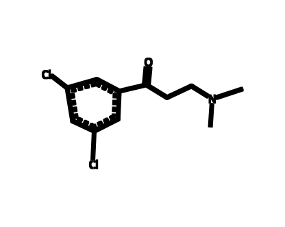 CN(C)CCC(=O)c1cc(Cl)cc(Cl)c1